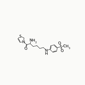 CS(=O)(=O)c1ccc(NCCCCC(N)C(=O)N2C=CSC2)cc1